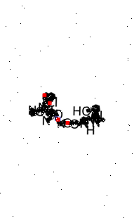 CCc1cnn2c(NCc3ccc(CCOCCOCCN(C)C/C=C/C(=O)N4CCN(c5nc(OC[C@@H]6CCCN6C)nc6c5CCN(c5cccc7cccc(Cl)c57)C6)C[C@@H]4CC#N)nc3)cc(N3CCCC[C@H]3CCO)nc12